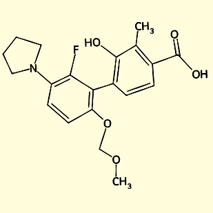 COCOc1ccc(N2CCCC2)c(F)c1-c1ccc(C(=O)O)c(C)c1O